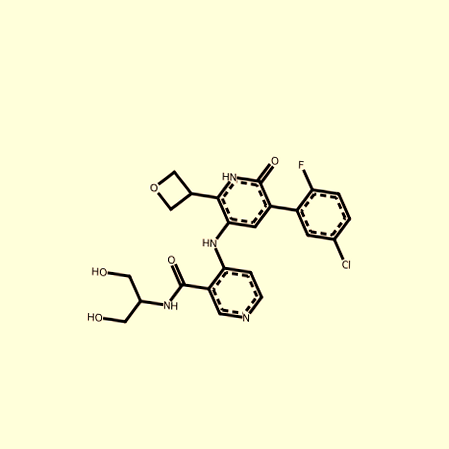 O=C(NC(CO)CO)c1cnccc1Nc1cc(-c2cc(Cl)ccc2F)c(=O)[nH]c1C1COC1